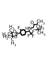 CCC(=O)[C@H](CC(C)(C)F)NC(c1ccc(B2OC(C)(C)C(C)(C)O2)c(F)c1)C(F)(F)F